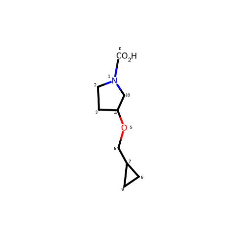 O=C(O)N1CCC(OCC2CC2)C1